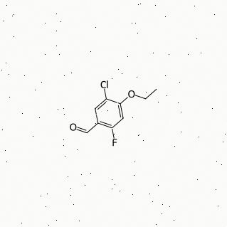 CCOc1cc(F)c(C=O)cc1Cl